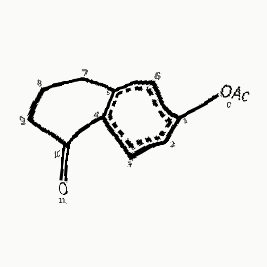 CC(=O)Oc1ccc2c(c1)CCCC2=O